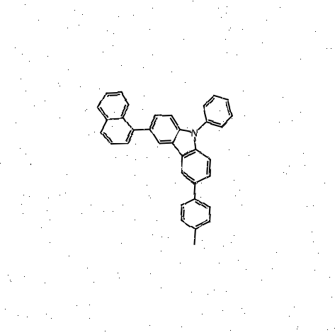 Cc1ccc(-c2ccc3c(c2)c2cc(-c4cccc5ccccc45)ccc2n3-c2ccccc2)cc1